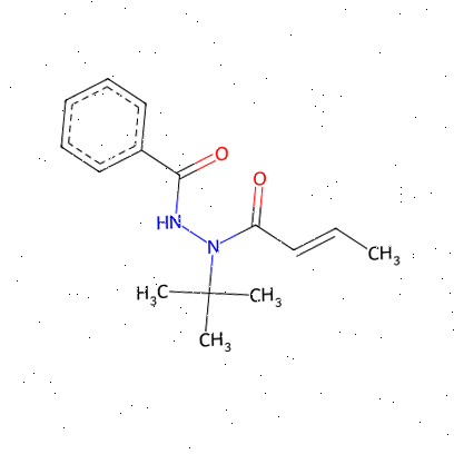 C/C=C/C(=O)N(NC(=O)c1ccccc1)C(C)(C)C